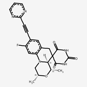 C[C@@H]1CN2c3cc(F)c(C#Cc4ncccn4)cc3CC3(C(=O)NC(=O)NC3=O)[C@H]2[C@H](C)O1